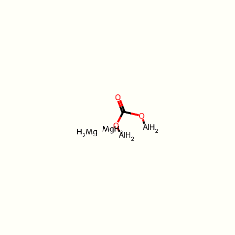 O=C([O][AlH2])[O][AlH2].[MgH2].[MgH2]